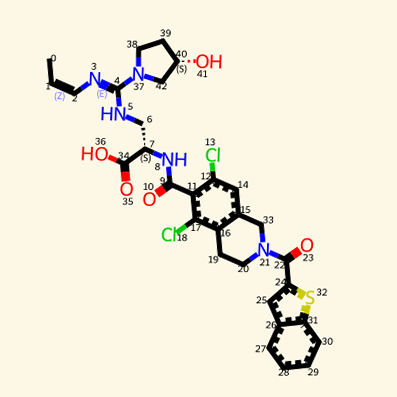 C/C=C\N=C(/NC[C@H](NC(=O)c1c(Cl)cc2c(c1Cl)CCN(C(=O)c1cc3ccccc3s1)C2)C(=O)O)N1CC[C@H](O)C1